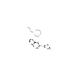 Cc1nnc(-c2cnc3[nH]ccc3c2N[C@@H]2C[C@H](C)CN(CCC#N)C2)o1